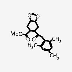 COC(=O)C1CC2OCOC2CC1C(=O)Cc1c(C)cc(C)cc1C